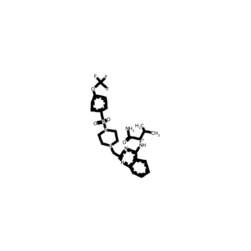 CC(C)[C@H](Nc1nc(CN2CCN(S(=O)(=O)c3ccc(OC(F)(F)F)cc3)CC2)nc2ccccc12)C(N)=O